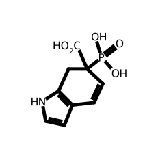 O=C(O)C1(P(=O)(O)O)C=Cc2cc[nH]c2C1